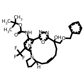 CC(C)(C)OC(=O)Nc1cc(C(F)(F)F)c2nc1-c1nnc(o1)C(O)(COCc1ccccc1)CCC=CC[C@@H]1CCCN21